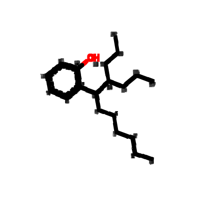 CCCCCCC(c1ccccc1O)C(CCC)CCC